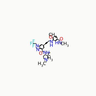 CCN1CC[C@H](NC(=O)c2cc(C#CCNc3cc(C(=O)NC)ccc3OC)cc3c2ncn3CC(F)(F)F)[C@@H](C)C1